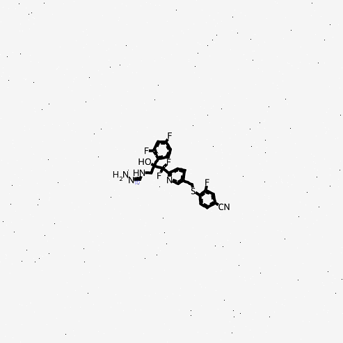 N#Cc1ccc(SCc2ccc(C(F)(F)C(O)(CN/C=N\N)c3ccc(F)cc3F)nc2)c(F)c1